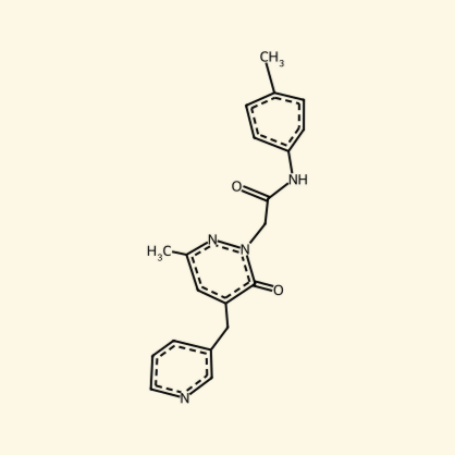 Cc1ccc(NC(=O)Cn2nc(C)cc(Cc3cccnc3)c2=O)cc1